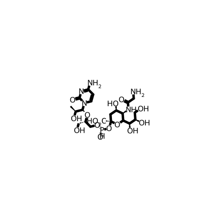 C[C@H](O)[C@@H](O[C@@H](CO)CO[PH](=O)O[C@@]1(C(=O)O)C[C@@H](O)[C@@H](NC(=O)CN)C([C@H](O)[C@H](O)CO)O1)n1ccc(N)nc1=O